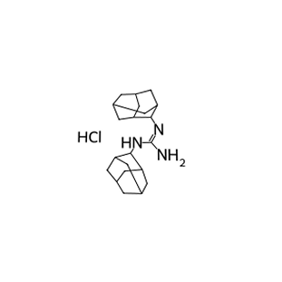 Cl.NC(=NC1C2CC3CC(C2)CC1C3)NC1C2CC3CC(C2)CC1C3